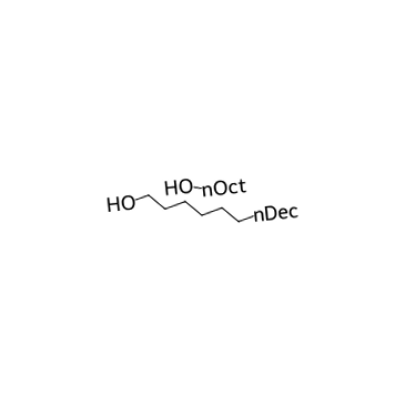 CCCCCCCCCCCCCCCCO.CCCCCCCCO